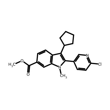 COC(=O)c1ccc2c(C3CCCC3)c(-c3ccc(Cl)nc3)n(C)c2c1